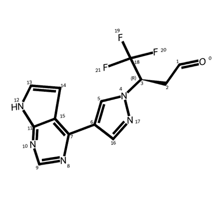 O=CC[C@@H](n1cc(-c2ncnc3[nH]ccc23)cn1)C(F)(F)F